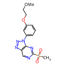 COCCOc1cccc(-n2nnc3cnc(S(C)(=O)=O)nc32)c1